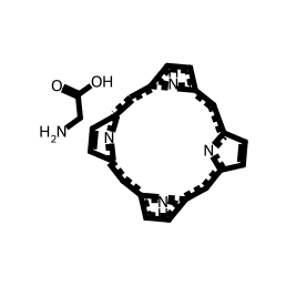 C1=Cc2cc3ccc(cc4nc(cc5ccc(cc1n2)[nH]5)C=C4)[nH]3.NCC(=O)O